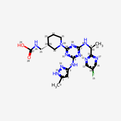 Cc1cc(Nc2nc(N[C@@H](C)c3ncc(F)cn3)nc(N3CCC[C@@H](CNC(=O)O)C3)n2)n[nH]1